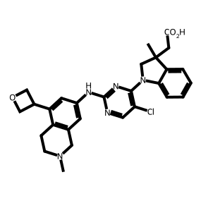 CN1CCc2c(cc(Nc3ncc(Cl)c(N4CC(C)(CC(=O)O)c5ccccc54)n3)cc2C2COC2)C1